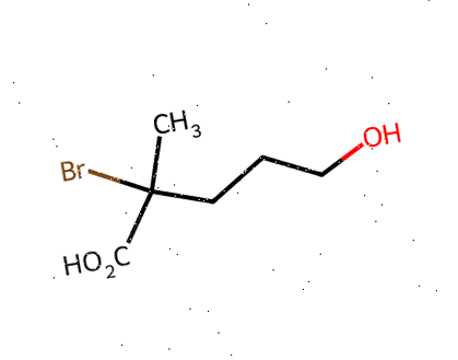 CC(Br)(CCCO)C(=O)O